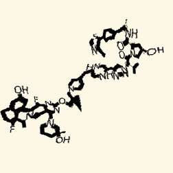 CCc1c(F)ccc2cc(O)cc(-c3ncc4c(N5CCC[C@@](C)(O)C5)nc(OCC5(CN6CCC(CC7CNC(c8cn([C@H](C(=O)N9C[C@H](O)C[C@H]9C(=O)N[C@@H](C)c9ccc(-c%10scnc%10C)cc9)C(C)C)nn8)CN7)CC6)CC5)nc4c3F)c12